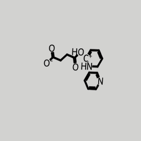 O=C([O-])CCC(=O)O.[C+]1=CC=CCN1.c1ccncc1